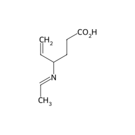 C=CC(CCC(=O)O)/N=C/C